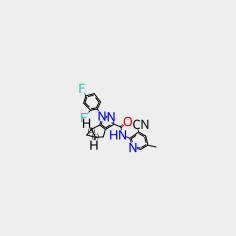 Cc1cnc(NC(=O)c2nn(-c3ccc(F)cc3F)c3c2C[C@@H]2C[C@H]32)c(C#N)c1